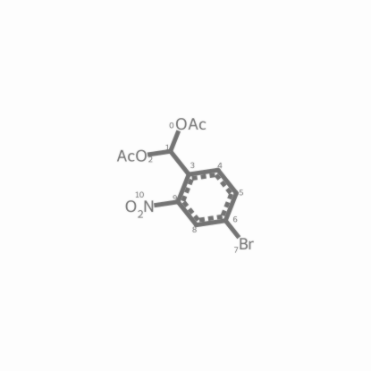 CC(=O)OC(OC(C)=O)c1ccc(Br)cc1[N+](=O)[O-]